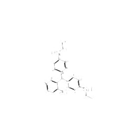 CCNc1ccc(C(c2ccc(NCC)cc2)c2ccccc2Cl)cc1